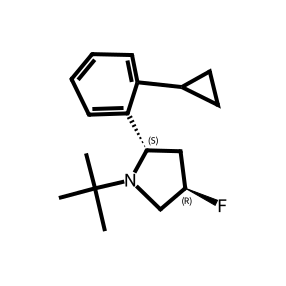 CC(C)(C)N1C[C@H](F)C[C@H]1c1ccccc1C1CC1